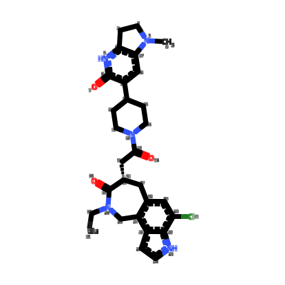 CN1CCc2[nH]c(=O)c(C3CCN(C(=O)C[C@@H]4Cc5cc(Cl)c6[nH]ccc6c5CN(CC(C)(C)C)C4=O)CC3)cc21